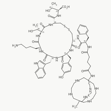 C[C@@H](O)[C@H](NC(=O)[C@@H]1CSSC[C@H](NC(=O)[C@@H](Cc2ccccc2)NC(=O)CCCC(=O)NC23CNCCNCC(C)(CNCCNC2)CNCCNC3)C(=O)N[C@@H](Cc2ccc(O)cc2)C(=O)N[C@H](Cc2c[nH]c3ccccc23)C(=O)N[C@@H](CCCCN)C(=O)N[C@@H]([C@@H](C)O)C(=O)N1)C(=O)O